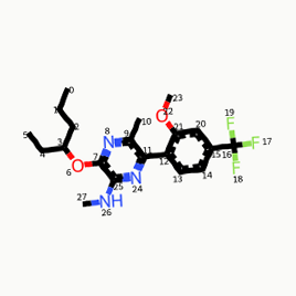 CCCC(CC)Oc1nc(C)c(-c2ccc(C(F)(F)F)cc2OC)nc1NC